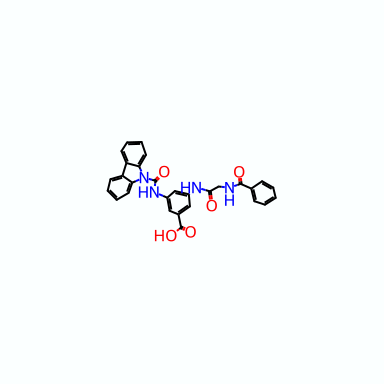 O=C(CNC(=O)c1ccccc1)Nc1cc(NC(=O)n2c3ccccc3c3ccccc32)cc(C(=O)O)c1